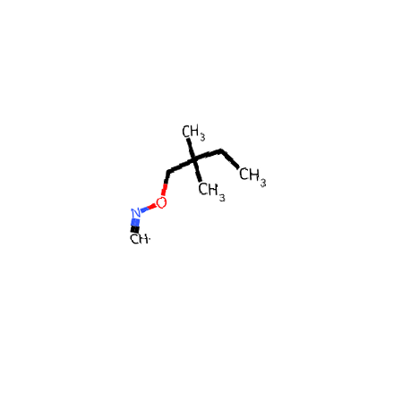 [CH]=NOCC(C)(C)CC